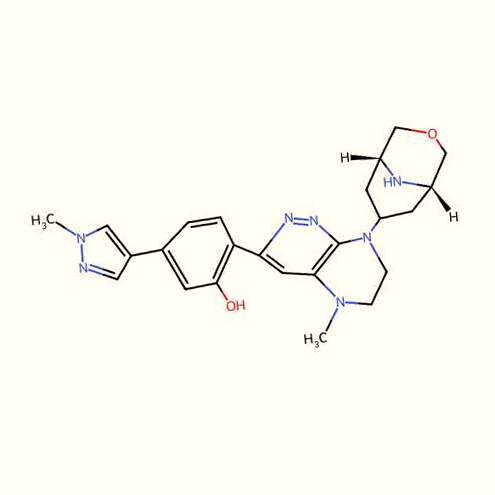 CN1CCN(C2C[C@H]3COC[C@@H](C2)N3)c2nnc(-c3ccc(-c4cnn(C)c4)cc3O)cc21